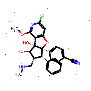 CNC[C@H]1[C@@H](O)[C@@]2(O)c3c(cc(Cl)nc3OC)O[C@@]2(c2ccc(C#N)cc2)[C@@H]1c1ccccc1